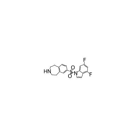 O=S(=O)(c1ccc2c(c1)CCNCC2)n1ccc2c(F)cc(F)cc21